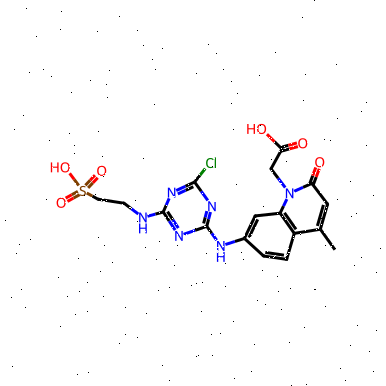 Cc1cc(=O)n(CC(=O)O)c2cc(Nc3nc(Cl)nc(NCCS(=O)(=O)O)n3)ccc12